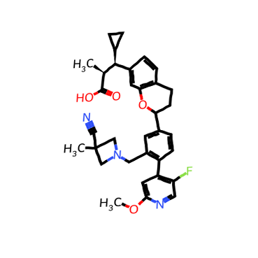 COc1cc(-c2ccc(C3CCc4ccc([C@H](C5CC5)[C@H](C)C(=O)O)cc4O3)cc2CN2CC(C)(C#N)C2)c(F)cn1